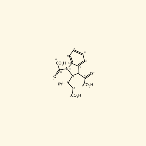 CC(C)[C@@H](CC(=O)O)C1C(C(=O)C(=O)O)c2ccccc2N1C(=O)C(=O)O